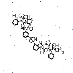 CN(C)[C@@H](C(=O)N1CCC[C@H]1C(=O)Nc1cccc(-c2cnc(-c3cccc4[nH]c([C@@H]5CCCN5C(=O)[C@@H](c5ccccc5)N(C)C)nc34)o2)c1)c1ccccc1